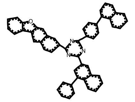 c1ccc(-c2cc(-c3nc(-c4ccc(-c5cccc6ccccc56)cc4)nc(-c4ccc5cc6c(cc5c4)oc4ccccc46)n3)cc3ccccc23)cc1